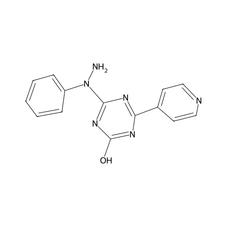 NN(c1ccccc1)c1nc(O)nc(-c2ccncc2)n1